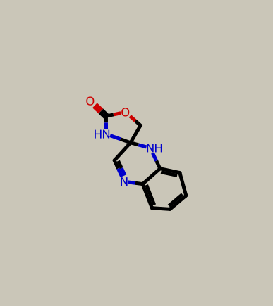 O=C1NC2(C=Nc3ccccc3N2)CO1